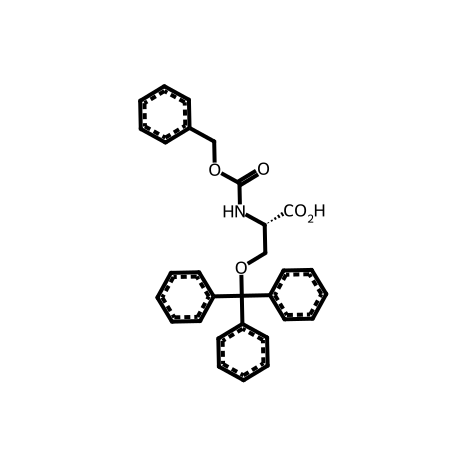 O=C(N[C@@H](COC(c1ccccc1)(c1ccccc1)c1ccccc1)C(=O)O)OCc1ccccc1